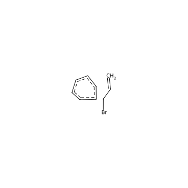 C=CCBr.c1ccccc1